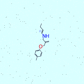 C=C(CN/C=C/CC)COc1ccc(C)cc1